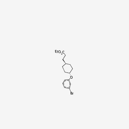 CCOC(=O)CC[C@H]1CC[C@H](Oc2cccc(Br)c2)CC1